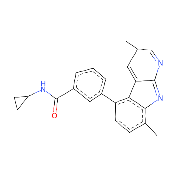 Cc1ccc(-c2cccc(C(=O)NC3CC3)c2)c2c1N=C1N=CC(C)C=C12